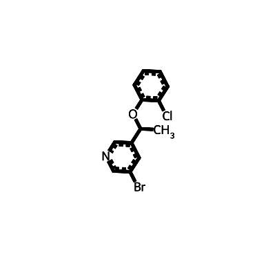 CC(Oc1ccccc1Cl)c1cncc(Br)c1